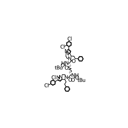 CC(C)(C)OC(=O)N[C@@H](CSSC[C@H](NC(=O)OC(C)(C)C)C(=O)N1CCn2nc(-c3ccc(Cl)cc3Cl)cc2C1CCc1ccccc1)C(=O)N1CCn2nc(-c3ccc(Cl)cc3Cl)cc2C1CCc1ccccc1